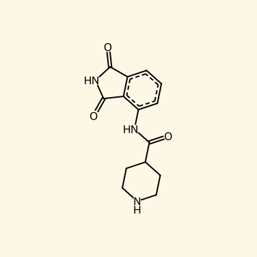 O=C1NC(=O)c2c(NC(=O)C3CCNCC3)cccc21